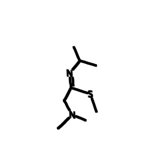 CS/C(CN(C)C)=N\C(C)C